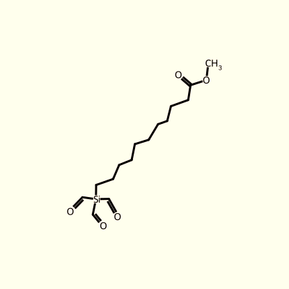 COC(=O)CCCCCCCCCC[Si](C=O)(C=O)C=O